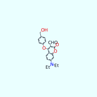 CCN(CC)c1ccc2c(Oc3ccc(CO)cc3)c(C=O)c(=O)oc2c1